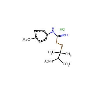 COc1ccc(NC(=N)SSC(C)(C)C(NC(C)=O)C(=O)O)cc1.Cl